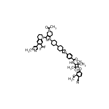 COc1cc(OC2C(C)(C)C(NC(=O)c3ccc(N4CC5(CCC(C6CCC(n7nc(N8CCCc9cc(-c%10cnn(C)c%10)c(C(F)F)cc98)c8c7CCN(C(C)=O)C8)CC6)CC5)C4)cc3)C2(C)C)ccc1C#N